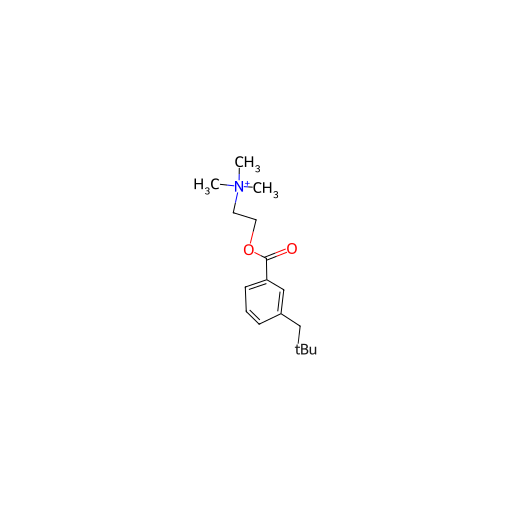 CC(C)(C)Cc1cccc(C(=O)OCC[N+](C)(C)C)c1